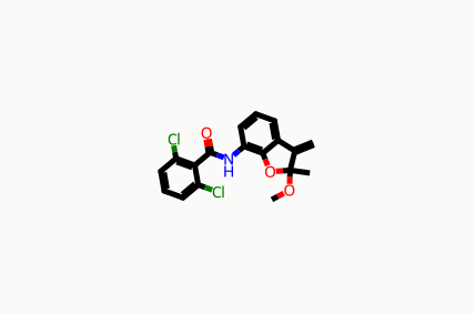 C=C1c2cccc(NC(=O)c3c(Cl)cccc3Cl)c2OC1(C)OC